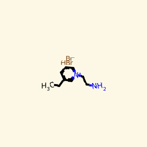 Br.CCc1ccc[n+](CCN)c1.[Br-]